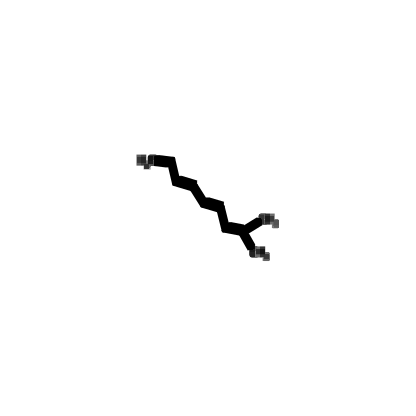 C=CC=CC=CC=C(C)C